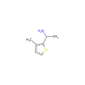 Cc1ccsc1C(C)N